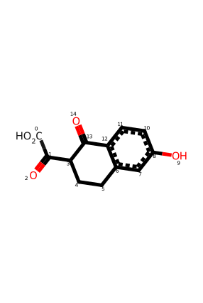 O=C(O)C(=O)C1CCc2cc(O)ccc2C1=O